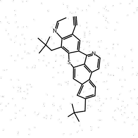 C#Cc1cc2c(c(CC(C)(C)C)c1/N=C\C)Sc1cc3cc(CC(C)(C)C)ccc3c3ccnc-2c13